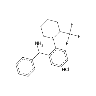 Cl.NC(c1ccccc1)c1ccccc1N1CCCCC1C(F)(F)F